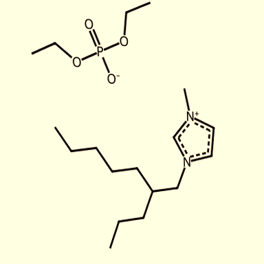 CCCCCC(CCC)Cn1cc[n+](C)c1.CCOP(=O)([O-])OCC